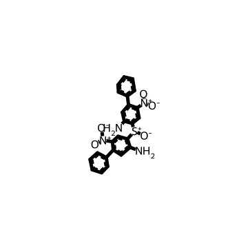 Nc1cc(-c2ccccc2)c([N+](=O)[O-])cc1[S+]([O-])c1cc([N+](=O)[O-])c(-c2ccccc2)cc1N